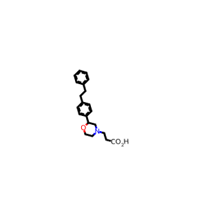 O=C(O)CCN1CCOC(c2ccc(CCc3ccccc3)cc2)C1